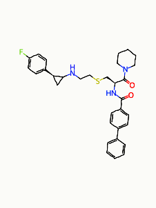 O=C(N[C@@H](CSCCNC1C[C@H]1c1ccc(F)cc1)C(=O)N1CCCCC1)c1ccc(-c2ccccc2)cc1